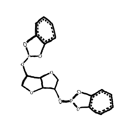 c1ccc2c(c1)OP(OC1COC3C(OP4Oc5ccccc5O4)COC13)O2